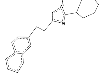 Cn1cc(CCc2ccc3ccccc3c2)nc1C1CCCCC1